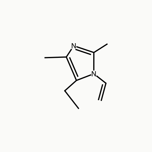 C=Cn1c(C)nc(C)c1CC